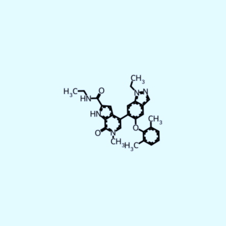 CCNC(=O)c1cc2c(-c3cc4c(cnn4CC)cc3Oc3c(C)cccc3C)cn(C)c(=O)c2[nH]1